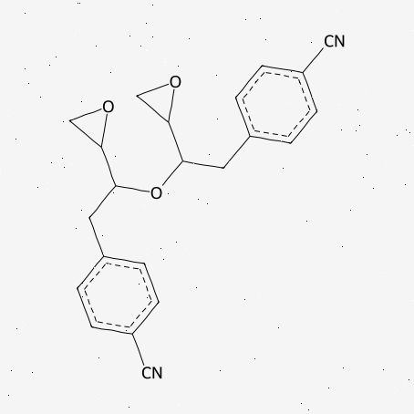 N#Cc1ccc(CC(OC(Cc2ccc(C#N)cc2)C2CO2)C2CO2)cc1